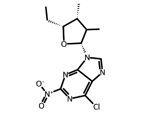 CC[C@H]1O[C@@H](n2cnc3c(Cl)nc([N+](=O)[O-])nc32)C(C)[C@H]1C